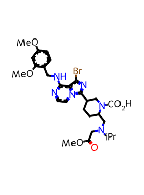 COC(=O)CN(CC1CCC(c2nc(Br)c3c(NCc4ccc(OC)cc4OC)nccn23)CN1C(=O)O)C(C)C